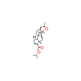 CC(=O)/C=C1/CC[C@@H]2C(=CC[C@]3(C)C(C(=O)COC(C)C)=CC[C@@H]23)C1(C)C